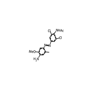 COc1cc(N=Nc2cc(Cl)c(NC(C)=O)c(Cl)c2)c(C)cc1N